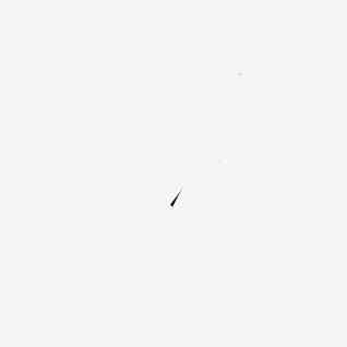 CCC[C@@H]1OC[C@@H](O)c2cccc(F)c21